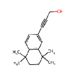 CC1(C)CCC(C)(C)c2cc(C#CCO)ccc21